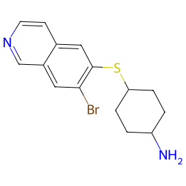 NC1CCC(Sc2cc3ccncc3cc2Br)CC1